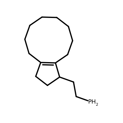 PCCC1CCC2=C1CCCCCCCC2